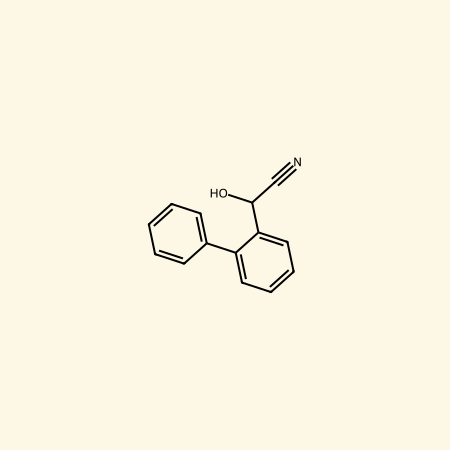 N#CC(O)c1ccccc1-c1ccccc1